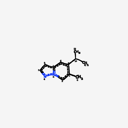 Cc1cn2nccc2cc1C(C)C